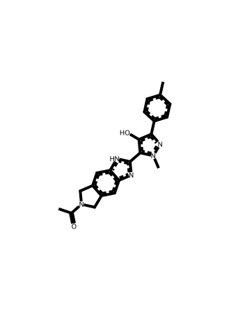 CC(=O)N1Cc2cc3nc(-c4c(O)c(-c5ccc(C)cc5)nn4C)[nH]c3cc2C1